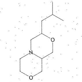 CC(C)CC1CN2CCOCC2CO1